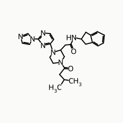 CC(C)CC(=O)N1CCN(c2ccnc(-n3ccnc3)n2)C(CC(=O)NC2Cc3ccccc3C2)C1